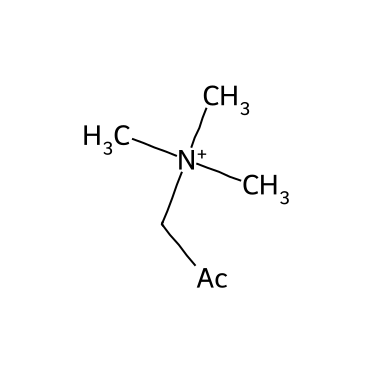 CC(=O)C[N+](C)(C)C